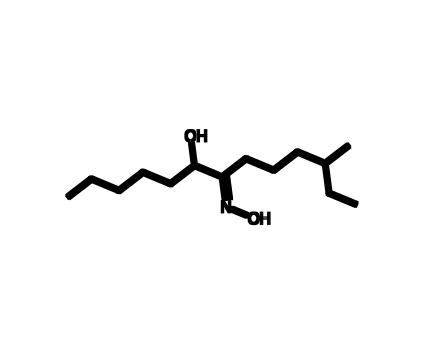 CCCCCC(O)C(CCCC(C)CC)=NO